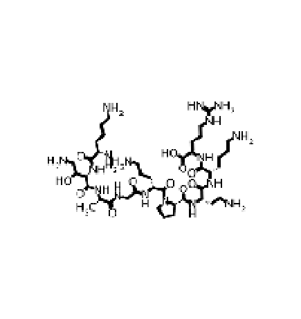 C[C@H](NC(=O)[C@@H](NC(=O)[C@@H](N)CCCCN)C(O)CN)C(=O)NCC(=O)N[C@H](CCCN)C(=O)N1CCC[C@H]1C(=O)N[C@@H](CCN)C(=O)N[C@@H](CCCCN)C(=O)N/C(=C\CCNC(=N)N)C(=O)O